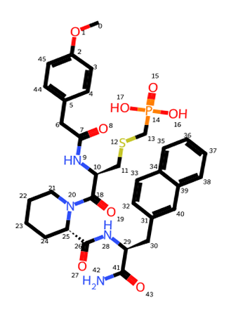 COc1ccc(CC(=O)N[C@@H](CSCP(=O)(O)O)C(=O)N2CCCC[C@H]2C(=O)N[C@@H](Cc2ccc3ccccc3c2)C(N)=O)cc1